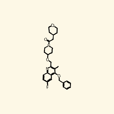 Cc1c(COC2CCN(C(=O)CC3CCOCC3)CC2)nc2ccc(F)cc2c1OCc1ccccc1